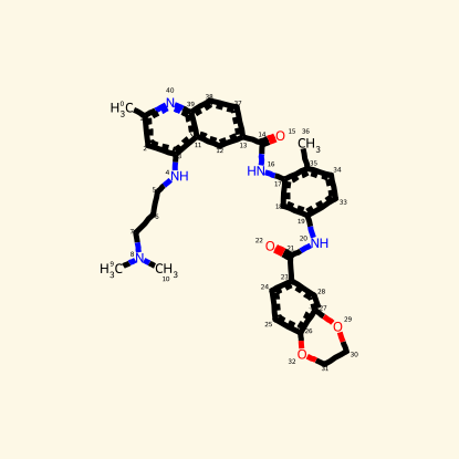 Cc1cc(NCCCN(C)C)c2cc(C(=O)Nc3cc(NC(=O)c4ccc5c(c4)OCCO5)ccc3C)ccc2n1